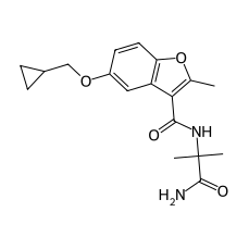 Cc1oc2ccc(OCC3CC3)cc2c1C(=O)NC(C)(C)C(N)=O